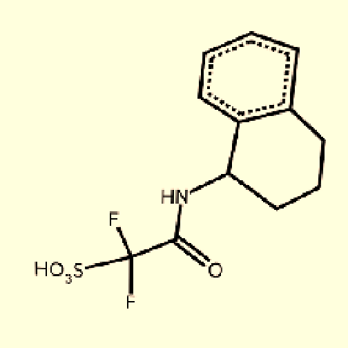 O=C(NC1CCCc2ccccc21)C(F)(F)S(=O)(=O)O